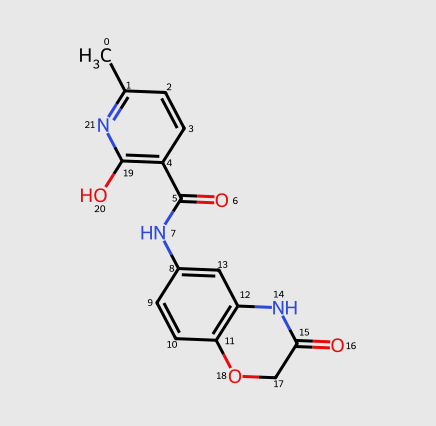 Cc1ccc(C(=O)Nc2ccc3c(c2)NC(=O)CO3)c(O)n1